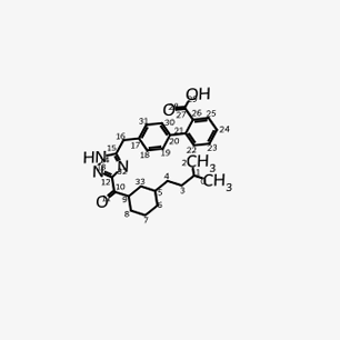 CC(C)CCC1CCCC(C(=O)c2n[nH]c(Cc3ccc(-c4ccccc4C(=O)O)cc3)n2)C1